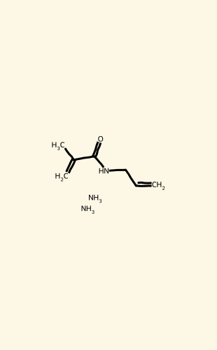 C=CCNC(=O)C(=C)C.N.N